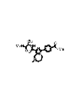 CNC(=O)c1ccc(-c2nc(C(=O)NC(C(=O)NC)C(C)(C)C)c3n2CCCN(C)C3)cc1